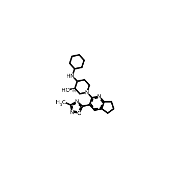 Cc1noc(-c2cc3c(nc2N2CCC(NC4CCCCC4)[C@H](O)C2)CCC3)n1